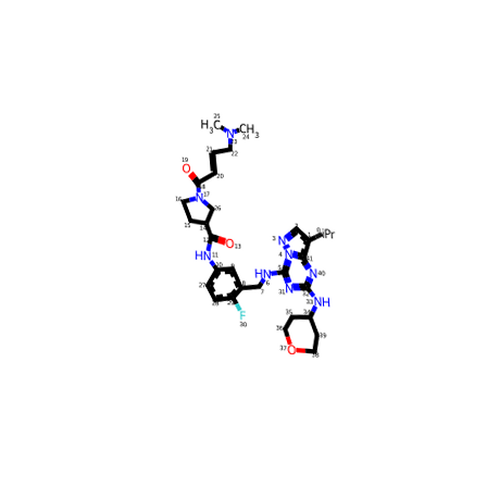 CC(C)c1cnn2c(NCc3cc(NC(=O)C4CCN(C(=O)C=CCN(C)C)C4)ccc3F)nc(NC3CCOCC3)nc12